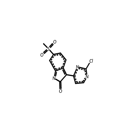 CS(=O)(=O)c1ccc2c(c1)=NC(=O)C=2c1ccnc(Cl)n1